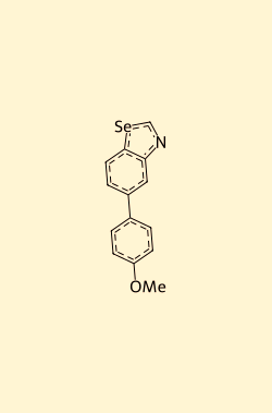 COc1ccc(-c2ccc3[se]cnc3c2)cc1